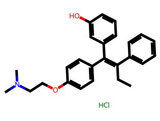 CC/C(=C(\c1ccc(OCCN(C)C)cc1)c1cccc(O)c1)c1ccccc1.Cl